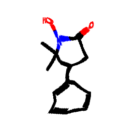 CC1(C)C(c2ccccc2)CC(=O)N1O